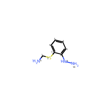 NCSc1ccccc1NN